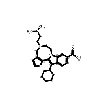 CN(C)CCN1CCn2c(c(C3CCCCC3)c3ccc(C(=O)O)cc32)-c2occc2C1